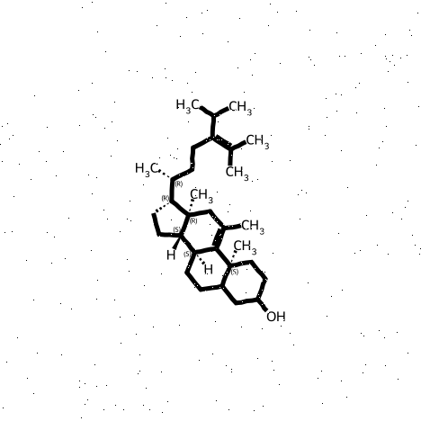 CC(C)=C(CC[C@@H](C)[C@H]1CC[C@H]2[C@@H]3CCC4CC(O)CC[C@]4(C)C3=C(C)C[C@]12C)C(C)C